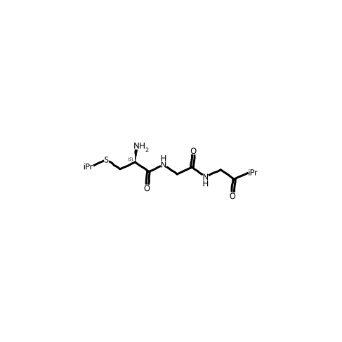 CC(C)SC[C@@H](N)C(=O)NCC(=O)NCC(=O)C(C)C